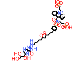 O=C(CCCCCNc1nc2ncc([C@H](O)[C@H](O)CO)nc2c(=O)[nH]1)CC(=O)CCCc1ccc(S(=O)(=O)N(CCCS(=O)(=O)O)C(=O)c2c3ccccc3[n+](CCCS(=O)(=O)O)c3ccccc23)cc1